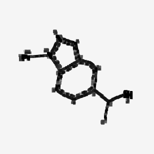 CC(S)c1ccc2c(cnn2C(C)C)c1